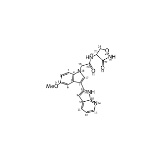 COc1ccc2c(c1)c(-c1cc3cccnc3[nH]1)cn2CC(=O)NC1CONC1=O